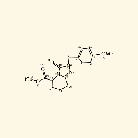 COc1ccc(Cn2nc3n(c2=O)[C@H](C(=O)OC(C)(C)C)CCC3)cc1